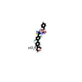 Cc1nsc(-c2cc(F)c(-c3ccc(C4(C(=O)O)CCOCC4)cc3)cc2F)c1NC(=O)OCc1ccccc1